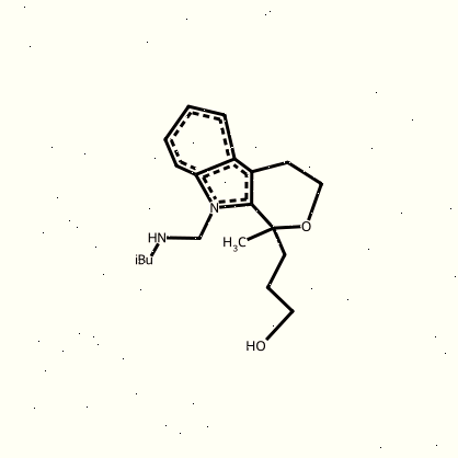 CCC(C)NCn1c2c(c3ccccc31)CCOC2(C)CCCO